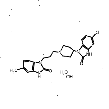 Cc1ccc2c(c1)[nH]c(=O)n2CCCN1CCC(n2c(=O)[nH]c3cc(Cl)ccc32)CC1.Cl.O